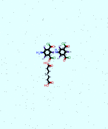 Nc1c(I)c(C(=O)Cl)c(I)c(C(=O)Cl)c1I.Nc1c(I)c(C(=O)Cl)c(I)c(C(=O)Cl)c1I.O=C(O)CC[Se]CCC(=O)O